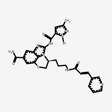 CCn1nc(C)cc1C(=O)Nc1nc2cc(C(N)=O)cc3c2n1[C@@H](CCCNC(=O)/C=C/c1cccnc1)CO3